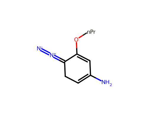 CCCOC1=CC(N)=CCC1=[N+]=[N-]